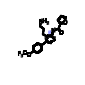 NCCCn1c(-c2ccc(OC(F)(F)F)cc2)cs/c1=N\C(=O)c1ccco1